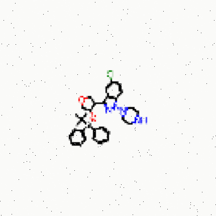 CC(C)(C)[Si](OC1COCC1c1nn(N2CCNCC2)c2ccc(Cl)cc12)(c1ccccc1)c1ccccc1